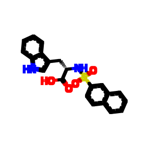 O=C(O)[C@H](Cc1c[nH]c2ccccc12)NS(=O)(=O)c1ccc2ccccc2c1